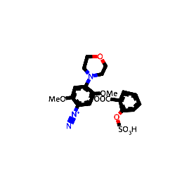 COc1cc(N2CCOCC2)c(OC)cc1[N+]#N.O=C([O-])c1ccccc1OS(=O)(=O)O